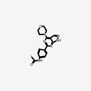 O=C(I)Nc1ccc(-c2nc(N3CCOCC3)c3cn[nH]c3n2)cc1